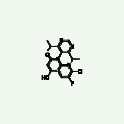 CC(C)c1ncnc(C(C)C)c1-n1c(=O)cc(O)c2cc(F)c(Cl)nc21